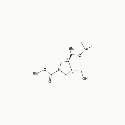 C[SiH](C)OC([C@@H]1CN(C(=O)OC(C)(C)C)C[C@H]1CO)C(C)(C)C